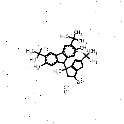 Cc1cc2c(cc1C(C)(C)C)-c1cc(C(C)(C)C)c(C)cc1C2C1(C)C[CH]([Zr+2])C2=C1C=C(C(C)(C)C)C2.[Cl-].[Cl-]